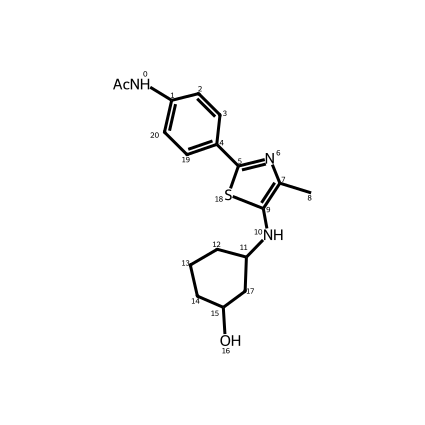 CC(=O)Nc1ccc(-c2nc(C)c(NC3CCCC(O)C3)s2)cc1